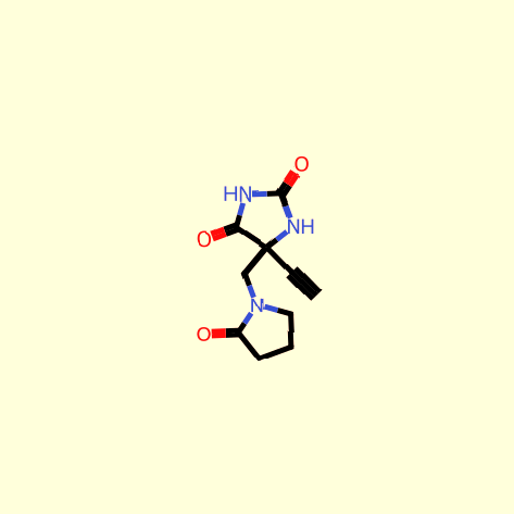 C#CC1(CN2CCCC2=O)NC(=O)NC1=O